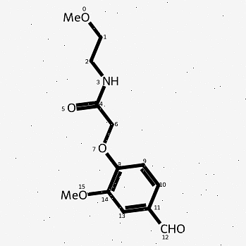 COCCNC(=O)COc1ccc(C=O)cc1OC